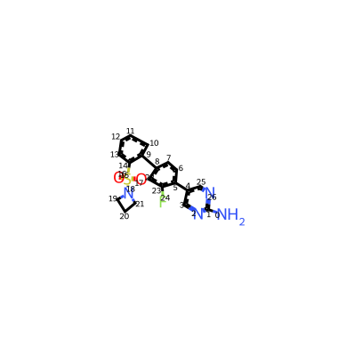 Nc1ncc(-c2ccc(-c3ccccc3S(=O)(=O)N3CCC3)cc2F)cn1